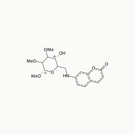 COC1C(OC)[C@H](O)C(CNc2ccc3ccc(=O)oc3c2)O[C@@H]1OC